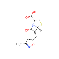 CC1=NOC(C=C2C(=O)N3C(C(=O)O)CS[C@H]23)C1